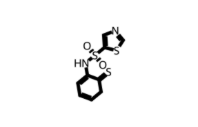 O=S(=O)(NC1=CC=CCC1=S)c1cncs1